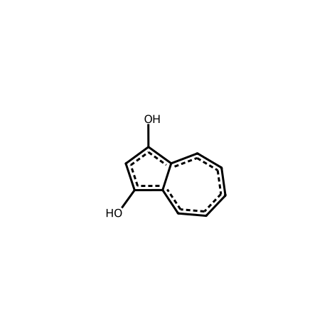 Oc1cc(O)c2cccccc1-2